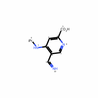 CC(C)Nc1cc(C(=O)O)ncc1C=N